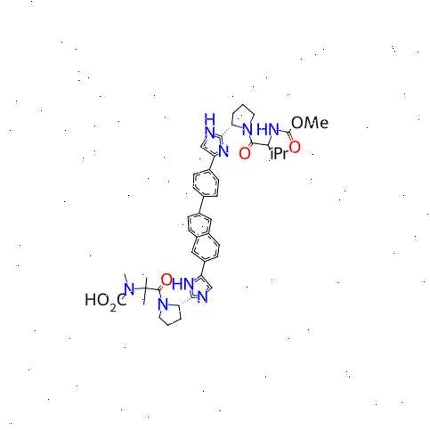 COC(=O)N[C@H](C(=O)N1CCC[C@H]1c1nc(-c2ccc(-c3ccc4cc(-c5cnc([C@@H]6CCCN6C(=O)C(C)(C)N(C)C(=O)O)[nH]5)ccc4c3)cc2)c[nH]1)C(C)C